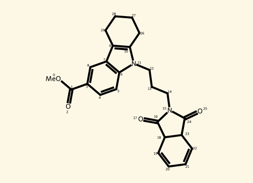 COC(=O)c1ccc2c(c1)c1c(n2CCCN2C(=O)C3C=CC=CC3C2=O)CCCC1